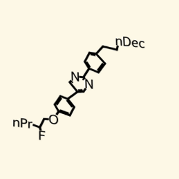 CCCCCCCCCCCCc1ccc(-c2ncc(-c3ccc(OCC(F)CCC)cc3)cn2)cc1